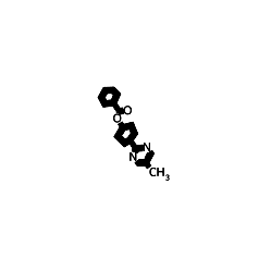 Cc1cnc(-c2ccc(OC(=O)c3ccccc3)cc2)nc1